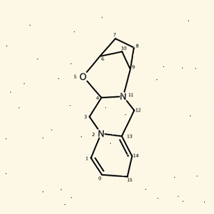 C1=CN2CC3OC4CCC(C4)N3CC2=CC1